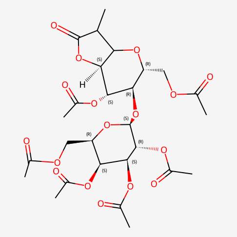 CC(=O)OC[C@H]1O[C@@H](O[C@H]2[C@H](OC(C)=O)[C@H]3OC(=O)C(C)C3O[C@@H]2COC(C)=O)[C@H](OC(C)=O)[C@@H](OC(C)=O)[C@H]1OC(C)=O